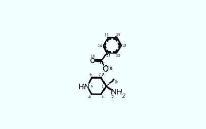 C[C@@]1(N)CCNC[C@@H]1OC(=O)c1ccccc1